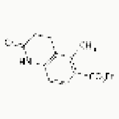 CCOC(=O)c1ccc2c(c1C)CCC(=O)N2